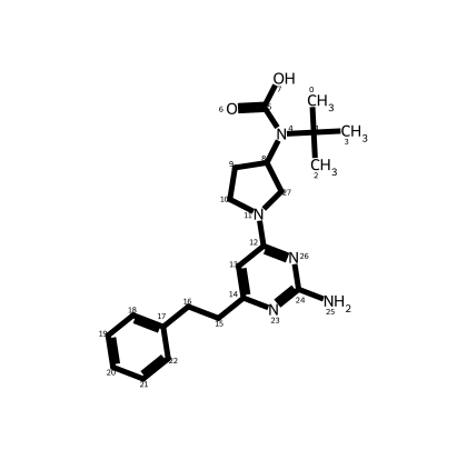 CC(C)(C)N(C(=O)O)C1CCN(c2cc(CCc3ccccc3)nc(N)n2)C1